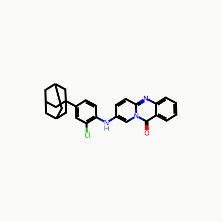 O=c1c2ccccc2nc2ccc(Nc3ccc(C45CC6CC(CC(C6)C4)C5)cc3Cl)cn12